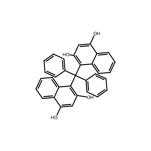 Oc1cc(O)c2ccccc2c1C(c1ccccc1)(c1ccccc1)c1c(O)cc(O)c2ccccc12